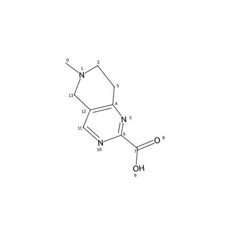 CN1CCc2nc(C(=O)O)ncc2C1